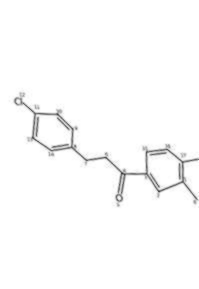 Cc1cc(C(=O)CCc2ccc(Cl)cc2)ccc1F